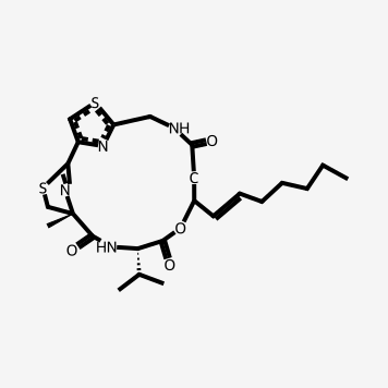 CCCCC/C=C/C1CC(=O)NCc2nc(cs2)C2=N[C@@](C)(CS2)C(=O)N[C@@H](C(C)C)C(=O)O1